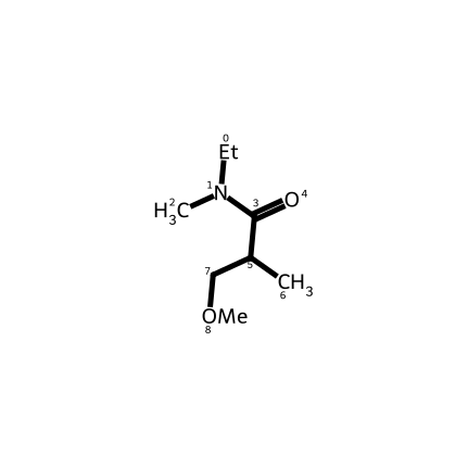 CCN(C)C(=O)C(C)COC